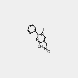 CC1=NC(c2ccccc2)N(I)C=C1CN=O